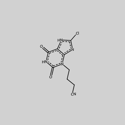 N#CCCCn1c(=O)[nH]c(=O)c2[nH]c(Cl)nc21